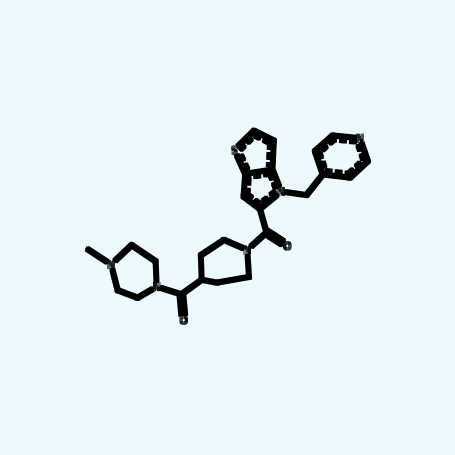 CN1CCN(C(=O)C2CCN(C(=O)c3cc4sccc4n3Cc3ccncc3)CC2)CC1